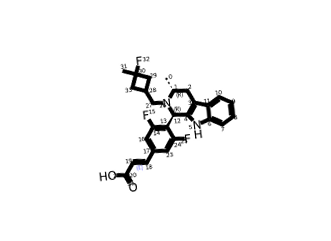 C[C@@H]1Cc2c([nH]c3ccccc23)[C@@H](c2c(F)cc(/C=C/C(=O)O)cc2F)N1CC1CC(C)(F)C1